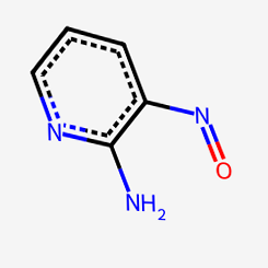 Nc1ncccc1N=O